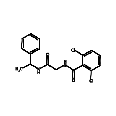 CC(NC(=O)CNC(=O)c1c(Cl)cccc1Cl)c1ccccc1